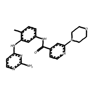 Cc1ccc(NC(=O)c2ccnc(N3CCOCC3)c2)cc1Nc1ccnc(N)n1